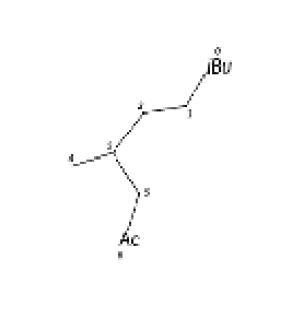 CCC(C)CCC(C)CC(C)=O